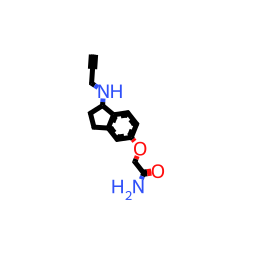 C#CCNC1CCc2cc(OCC(N)=O)ccc21